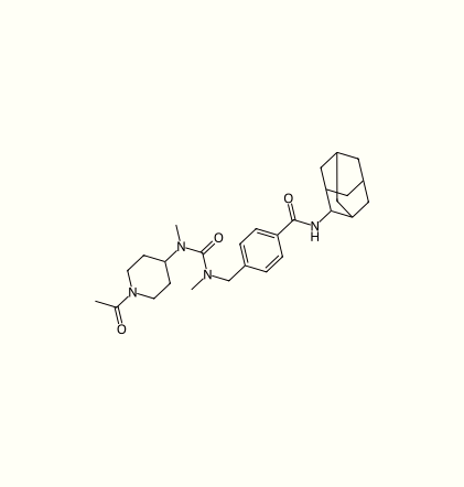 CC(=O)N1CCC(N(C)C(=O)N(C)Cc2ccc(C(=O)NC3C4CC5CC(C4)CC3C5)cc2)CC1